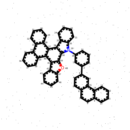 c1cc(-c2ccc3ccc4ccccc4c3c2)cc(-n2c3ccccc3c3c4c5ccccc5c5ccccc5c4c4c5ccccc5oc4c32)c1